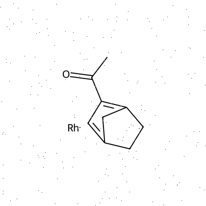 CC(=O)C1=C2CCC(=C1)C2.[Rh]